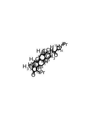 CC(C)C1=C2[C@H]3CC[C@@H]4[C@@]5(C)CCC(NC(=O)C6CN(C(C)C)C6)C(C)(C)[C@@H]5CC[C@@]4(C)[C@]3(C)CC[C@@]2(C)CC1=O